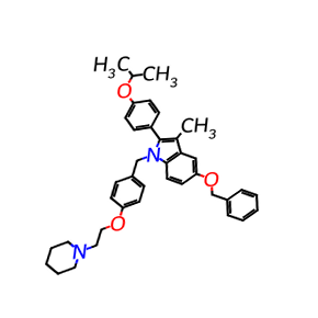 Cc1c(-c2ccc(OC(C)C)cc2)n(Cc2ccc(OCCN3CCCCC3)cc2)c2ccc(OCc3ccccc3)cc12